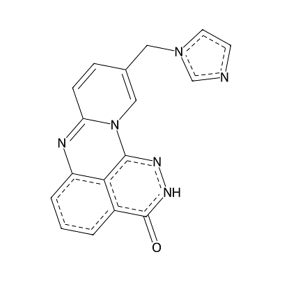 O=c1[nH]nc2c3c(cccc13)N=C1C=CC(Cn3ccnc3)=CN12